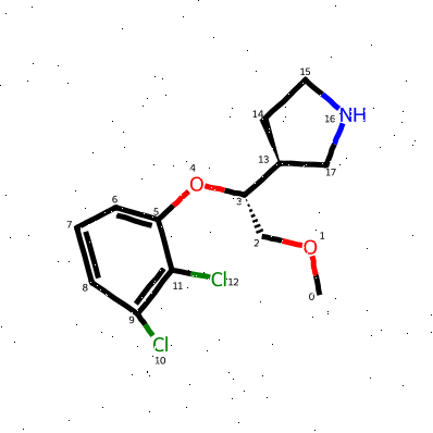 COC[C@H](Oc1cccc(Cl)c1Cl)[C@H]1CCNC1